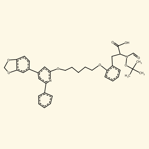 CC(C)(C)ON(C=O)C(Cc1ccccc1OCCCCCOc1cc(-c2ccc3c(c2)OCO3)cc(-c2ccccc2)n1)C(=O)O